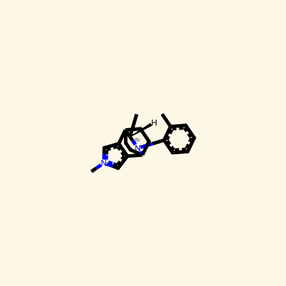 Cc1ccccc1N1[C@@H](C)C23CCC1(CC2)c1cn(C)cc13